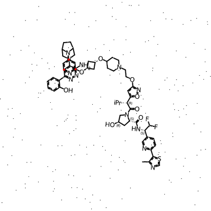 Cc1ncsc1-c1ccc([C@H](NC(=O)[C@@H]2C[C@@H](O)CN2C(=O)[C@@H](c2cc(OCCN3CCC(O[C@H]4C[C@H](Oc5cc(N6C7CCC6CN(c6cc(-c8ccccc8O)nnc6N)C7)ccn5)C4)CC3)no2)C(C)C)C(F)F)cn1